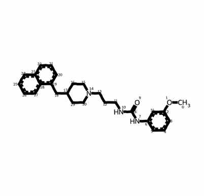 COc1cccc(NC(=O)NCCCN2CCC(Cc3cccc4ccccc34)CC2)c1